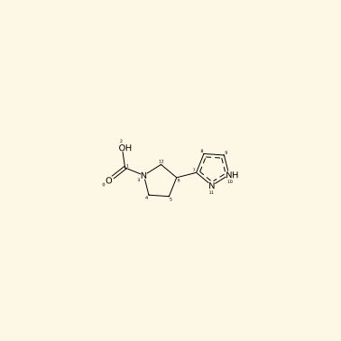 O=C(O)N1CCC(c2cc[nH]n2)C1